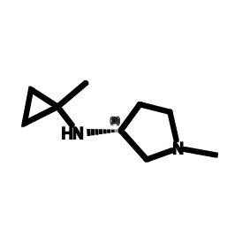 CN1CC[C@@H](NC2(C)CC2)C1